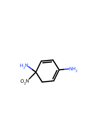 NC1=CCC(N)([N+](=O)[O-])C=C1